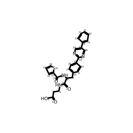 O=C(O)CCNC(=O)C(Cc1ccc(-c2ncc(-c3ccccc3)cn2)cc1)NC(=O)c1cccs1